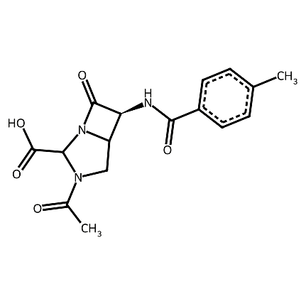 CC(=O)N1CC2[C@H](NC(=O)c3ccc(C)cc3)C(=O)N2C1C(=O)O